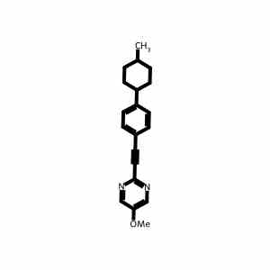 COc1cnc(C#Cc2ccc(C3CCC(C)CC3)cc2)nc1